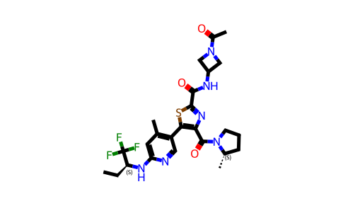 CC[C@H](Nc1cc(C)c(-c2sc(C(=O)NC3CN(C(C)=O)C3)nc2C(=O)N2CCC[C@@H]2C)cn1)C(F)(F)F